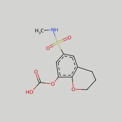 CNS(=O)(=O)c1cc2c(c(OC(=O)O)c1)OCCC2